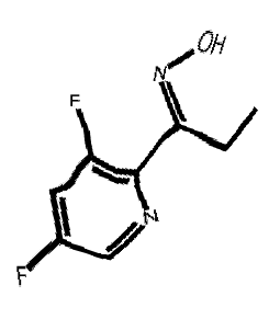 CCC(=NO)c1ncc(F)cc1F